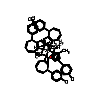 CC1=CC2=C(C=CC=CC2c2ccc(Cl)cc2)[C]12[SiH](C)[C]1(C(C)=CC3=C1C=CC=CC3c1ccc(Cl)cc1)[Zr]21([Cl])([Cl])[C]2(C(C)=CC3=C2C=CC=CC3c2ccc(Cl)cc2)[SiH](C)[C@]12C(C)=CC1=C2C=CC=CC1c1ccc(Cl)cc1